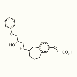 O=C(O)COc1ccc2c(c1)CCCC(NC[C@H](O)COc1ccccc1)C2